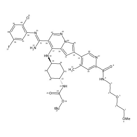 COCCOCCNC(=O)c1cc(C)c(-c2cc3c(N[C@H]4CC[C@H](NC(=O)OC(C)(C)C)CC4)c(C(N)=Nc4cc(F)ccc4Cl)cnn3c2)cn1